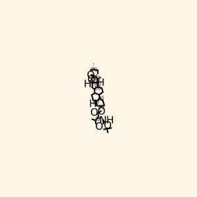 CC(C)[C@H](NC(=O)OC(C)(C)C)C(=O)O[C@@H]1CC[C@]2(C)C3CC[C@@]4(C)C(C[C@@H]5O[C@]6(CC[C@@H](C)CO6)[C@@H](C)[C@@H]54)C3CC[C@@H]2C1